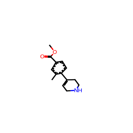 COC(=O)c1ccc(C2=CCNCC2)c(C)c1